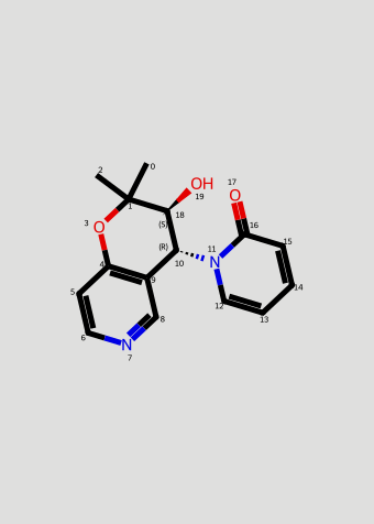 CC1(C)Oc2ccncc2[C@@H](n2ccccc2=O)[C@@H]1O